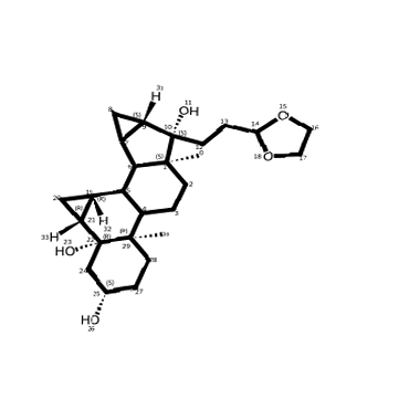 C[C@]12CCC3C(C1C1C[C@@H]1[C@@]2(O)CCC1OCCO1)[C@H]1C[C@H]1[C@]1(O)C[C@@H](O)CC[C@]31C